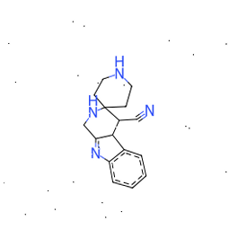 N#CC1C2C(=Nc3ccccc32)CNC12CCNCC2